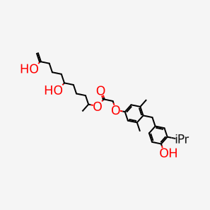 C=C(O)CCCC(O)CCCC(C)OC(=O)COc1cc(C)c(Cc2ccc(O)c(C(C)C)c2)c(C)c1